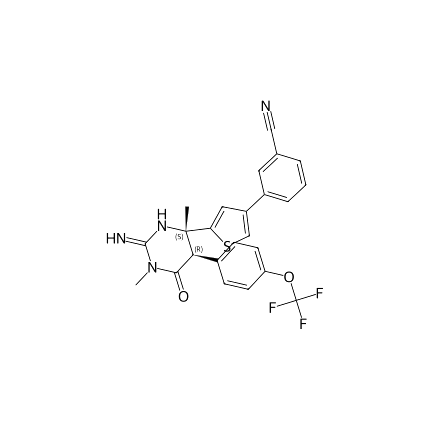 CN1C(=N)N[C@](C)(c2cc(-c3cccc(C#N)c3)cs2)[C@@H](c2ccc(OC(F)(F)F)cc2)C1=O